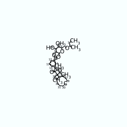 CCC(C)OCC1OC2OB(c3cccc(NC(=O)C(CC)(C(C)C)C4CCCCCCCC4)c3)OC2C(O)C1O